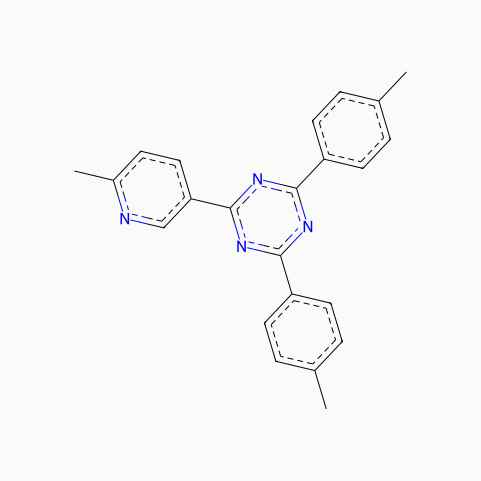 Cc1ccc(-c2nc(-c3ccc(C)cc3)nc(-c3ccc(C)nc3)n2)cc1